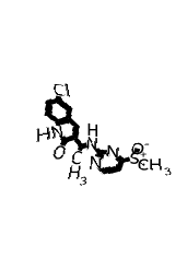 CC(Nc1nccc([S@@+](C)[O-])n1)c1cc2cc(Cl)ccc2[nH]c1=O